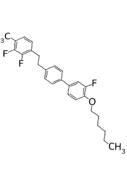 CCCCCCOc1ccc(-c2ccc(CCc3ccc(C)c(F)c3F)cc2)cc1F